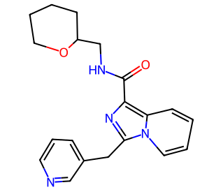 O=C(NCC1CCCCO1)c1nc(Cc2cccnc2)n2ccccc12